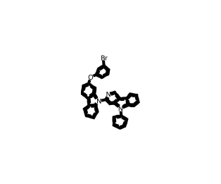 Brc1cccc(Oc2ccc3c4ccccc4n(-c4cc5c(cn4)c4ccccc4n5-c4ccccc4)c3c2)c1